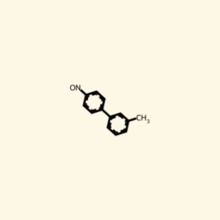 Cc1cccc(-c2ccc(N=O)cc2)c1